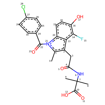 Cc1c(CC(=O)NC(C)(C)C(=O)O)c2c(F)c(O)ccc2n1C(=O)c1ccc(Cl)cc1